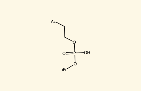 CC(=O)CCOP(=O)(O)OC(C)C